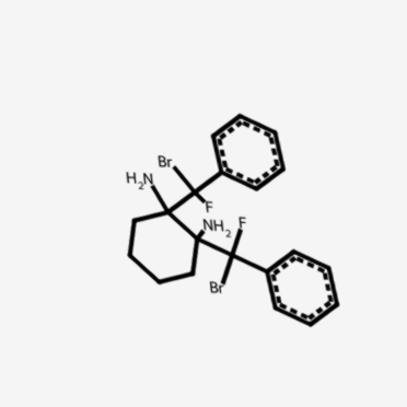 NC1(C(F)(Br)c2ccccc2)CCCCC1(N)C(F)(Br)c1ccccc1